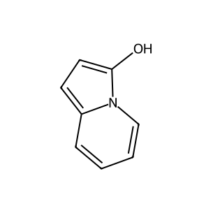 Oc1ccc2ccccn12